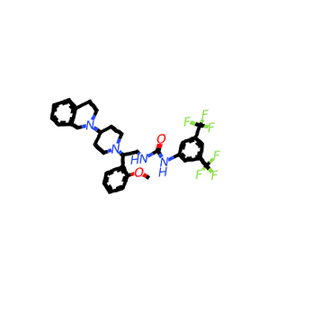 COc1ccccc1C(CNC(=O)Nc1cc(C(F)(F)F)cc(C(F)(F)F)c1)N1CCC(N2CCc3ccccc3C2)CC1